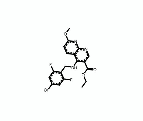 CCOC(=O)c1cnc2nc(OC)ccc2c1NCc1c(F)cc(Br)cc1F